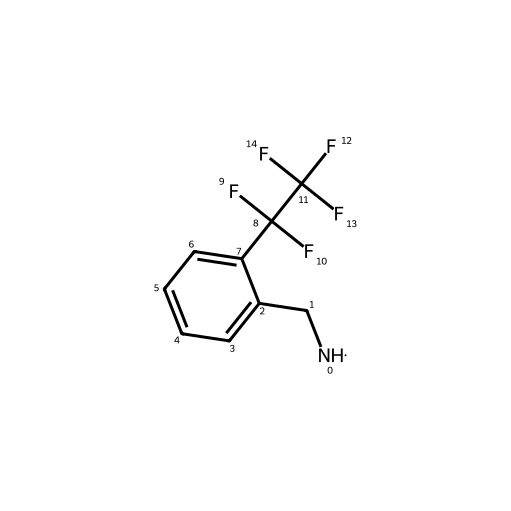 [NH]Cc1ccccc1C(F)(F)C(F)(F)F